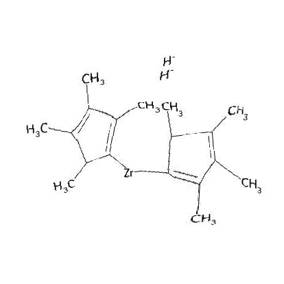 CC1=C(C)C(C)[C]([Zr][C]2=C(C)C(C)=C(C)C2C)=C1C.[H-].[H-]